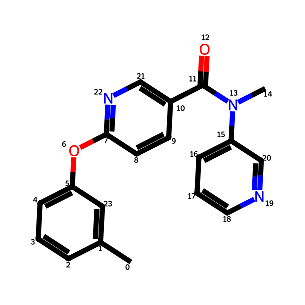 Cc1cccc(Oc2ccc(C(=O)N(C)c3cccnc3)cn2)c1